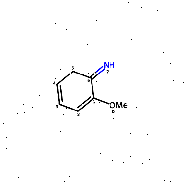 COC1=CC=CCC1=N